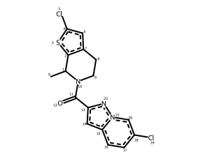 CC1c2sc(Cl)cc2CCN1C(=O)c1cc2ccc(Cl)cn2n1